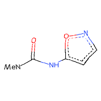 CNC(=O)Nc1ccno1